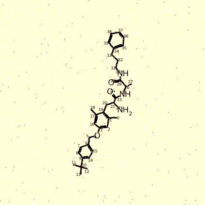 Cc1cc(OCc2ccc(C(C)(C)C)cc2)cc(C)c1CC(N)C(=O)N[C@H](C)C(=O)NCCCc1ccccc1